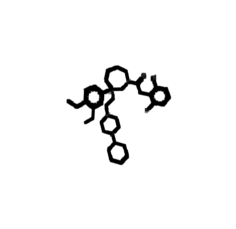 CCc1ccc([C@@]2(CCN3CCN(C4CCCCC4)CC3)CCCCN(C(=O)Cc3c(F)cccc3Cl)C2)cc1CC